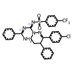 N/C(=N\C(=N\S(=O)(=O)c1ccc(C(F)(F)F)cc1)N1CCC(c2ccccc2)C(c2ccc(Cl)cc2)=N1)c1ccccc1